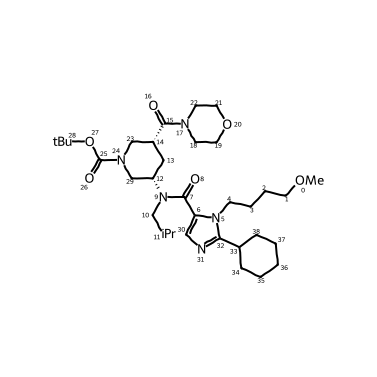 COCCCCn1c(C(=O)N(CC(C)C)[C@H]2C[C@@H](C(=O)N3CCOCC3)CN(C(=O)OC(C)(C)C)C2)cnc1C1CCCCC1